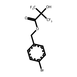 O=C(OCc1ccc(Br)cc1)C(O)(C(F)(F)F)C(F)(F)F